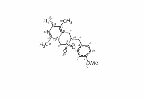 COc1ccc(CN2CC3=C(C)[C@H](C)N=C(C)N3CS2(=O)=O)cc1